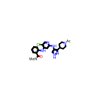 CNC(=O)c1ccccc1Nc1cc(Nc2c[nH]nc2C2CCN(C(C)=O)CC2)ncc1Cl